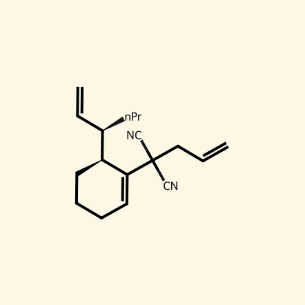 C=CCC(C#N)(C#N)C1=CCCC[C@H]1[C@@H](C=C)CCC